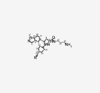 Cn1ncc2cc(-c3cc(C(=O)NCCCN)nn3-c3ccc(C#N)cc3)ccc21